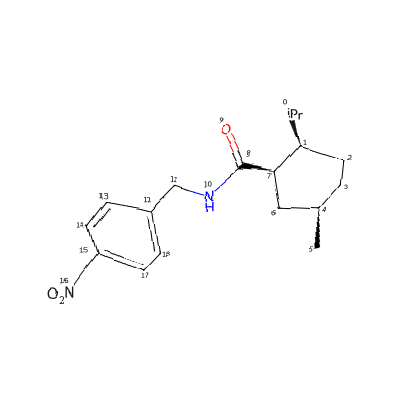 CC(C)[C@H]1CC[C@@H](C)C[C@H]1C(=O)NCc1ccc([N+](=O)[O-])cc1